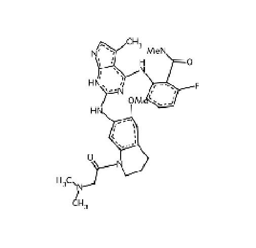 CNC(=O)c1c(F)cccc1Nc1nc(Nc2cc3c(cc2OC)CCCN3C(=O)CN(C)C)[nH]c2ncc(C)c1-2